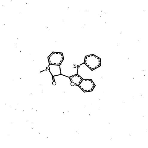 CN1C(=O)C(c2oc3ccccc3c2[Se]c2ccccc2)c2ccccc21